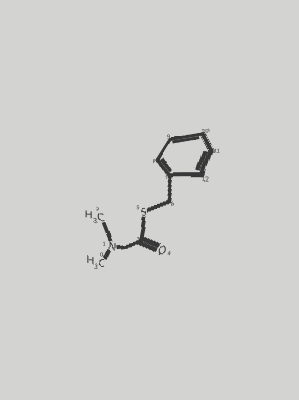 CN(C)C(=O)SCc1ccccc1